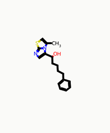 Cc1csc2ncc(C(O)CCCCc3ccccc3)n12